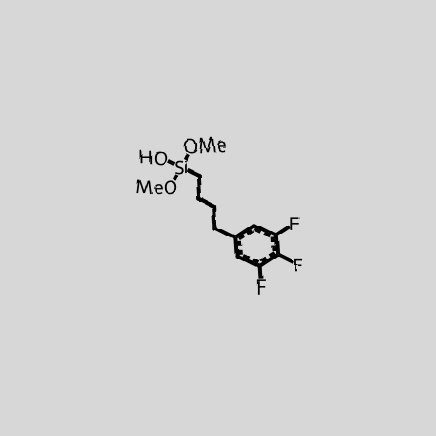 CO[Si](O)(CCCCc1cc(F)c(F)c(F)c1)OC